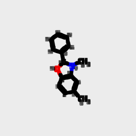 Cc1ccc2c(c1)N(C)B(c1ccccc1)O2